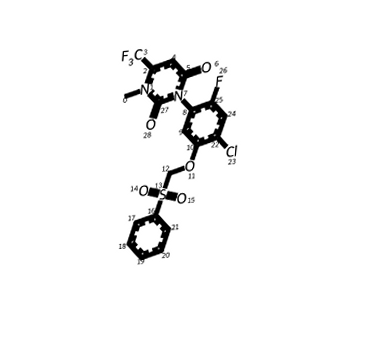 Cn1c(C(F)(F)F)cc(=O)n(-c2cc(OCS(=O)(=O)c3ccccc3)c(Cl)cc2F)c1=O